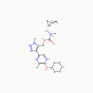 Cc1nc(-c2nnn(C)c2COC(=O)N(C)C[C@@H]2C[C@H]2C)cnc1OC1CCCCC1